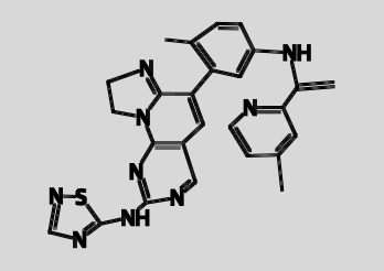 C=C(Nc1ccc(C)c(C2=Cc3cnc(Nc4ncns4)nc3N3CCN=C23)c1)c1cc(C)ccn1